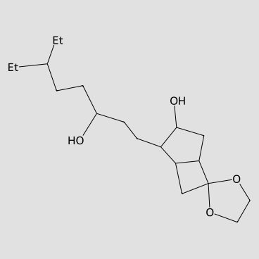 CCC(CC)CCC(O)CCC1C(O)CC2C1CC21OCCO1